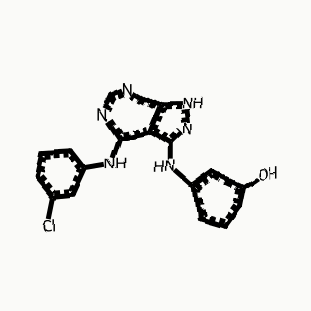 Oc1cccc(Nc2n[nH]c3ncnc(Nc4cccc(Cl)c4)c23)c1